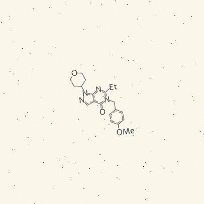 CCc1nc2c(cnn2C2CCOCC2)c(=O)n1Cc1ccc(OC)cc1